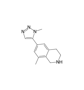 Cc1cc(-c2cnnn2C)cc2c1CNCC2